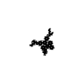 CCCCC(CC)COc1ccc(-c2cc(-c3ccc(OCC(CC)CCCC)cc3)cc(-n3c(-c4ccccc4O[Si](C)(C)C(C)(C)C)nc4c5ccccc5c5ccccc5c43)c2)cc1